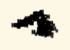 C#CCOc1cc(-n2nc3n(c2=O)CCCC3)c(Cl)cc1Cl.CC1COc2ccccc2N1C(=O)C(Cl)Cl.CCNc1nc(Cl)nc(NC(C)C)n1.COc1cc(OC)nc(NC(=O)NS(=O)(=O)c2ncccc2C(=O)N(C)C)n1.C[S+](C)C.O=C(O)CNCP(=O)([O-])O